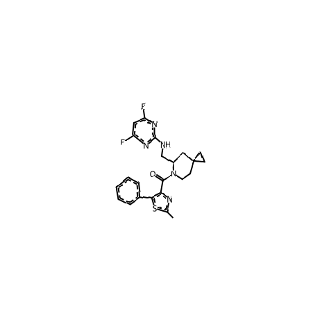 Cc1nc(C(=O)N2CCC3(CC3)CC2CNc2nc(F)cc(F)n2)c(-c2ccccc2)s1